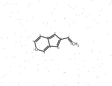 C=Cc1cc2ccocc-2c1